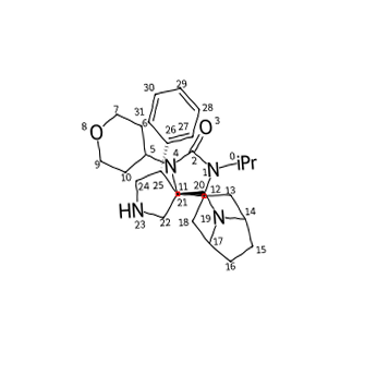 CC(C)N1C(=O)N(C2CCOCC2)CC12CC1CCC(C2)N1C[C@H]1CNC[C@@H]1c1ccccc1